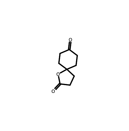 O=C1CCC2(CC1)CCC(=O)O2